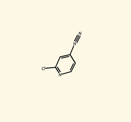 N#[N+]c1ccnc(Cl)c1